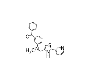 CN(CC1=CSC(c2cccnc2)N1)c1cccc(C(=O)c2ccccc2)c1